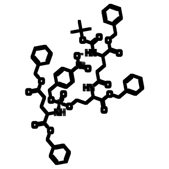 CC(C)(C)OC(=O)NC(CCC(=O)NC(CCOP(=O)(NC(CCC(=O)OCc1ccccc1)C(=O)OCc1ccccc1)OCc1ccc([N+](=O)[O-])cc1)C(=O)OCc1ccccc1)C(=O)OCc1ccccc1